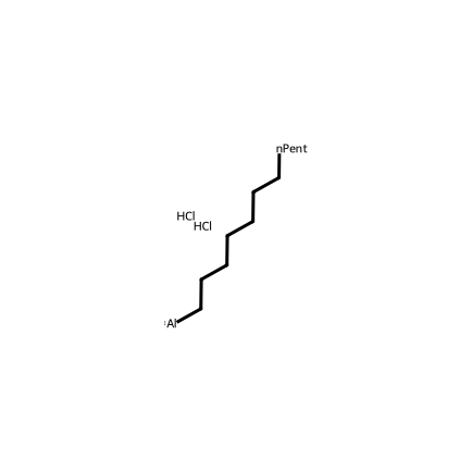 CCCCCCCCCCC[CH2][Al].Cl.Cl